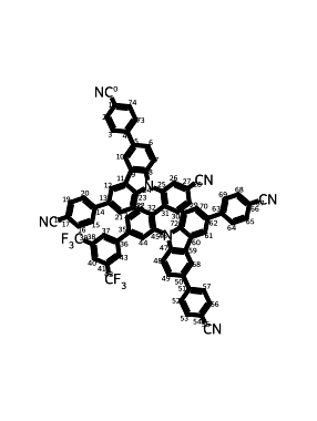 N#Cc1ccc(-c2ccc3c(c2)c2cc(-c4ccc(C#N)cc4)ccc2n3-c2cc(C#N)ccc2-c2ccc(-c3cc(C(F)(F)F)cc(C(F)(F)F)c3)cc2-n2c3ccc(-c4ccc(C#N)cc4)cc3c3cc(-c4ccc(C#N)cc4)ccc32)cc1